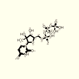 C[C@]1(O)C(n2ccc(=O)[nH]c2=O)O[C@H](COP(O)(=S)OP(=O)(O)OP(=O)(O)O)[C@H]1O